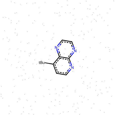 CC(C)(C)c1ccnc2nccnc12